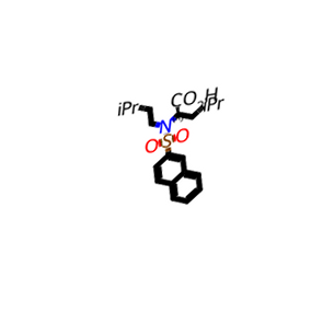 CC(C)CCN([C@H](CC(C)C)C(=O)O)S(=O)(=O)c1ccc2ccccc2c1